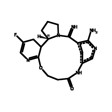 N=C1c2cc(cnc2N)NC(=O)CCOC2=NC=C(F)CC2[C@H]2CCCN12